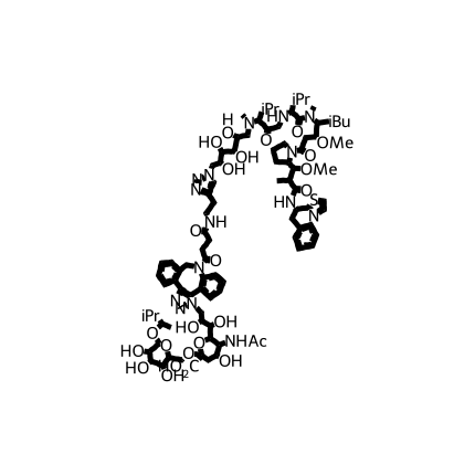 CCC(C)C(C(CC(=O)N1CCCC1C(OC)C(C)C(=O)NC(Cc1ccccc1)c1nccs1)OC)N(C)C(=O)C(NCC(=O)C(C(C)C)N(C)CC(O)C(O)C(O)C(O)Cn1cc(CCNC(=O)CCC(=O)N2Cc3ccccc3-c3nnn(CC(O)C(O)C4OC(OCC5OC(OC(C)C(C)C)C(O)C(O)C5O)(C(=O)O)CC(O)C4NC(C)=O)c3-c3ccccc32)nn1)C(C)C